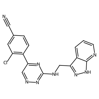 N#Cc1ccc(-c2cnnc(NCc3n[nH]c4ncccc34)n2)c(Cl)c1